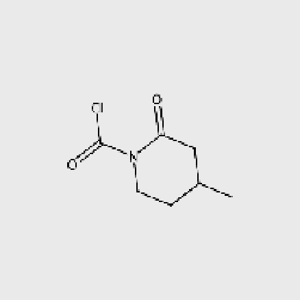 CC1CCN(C(=O)Cl)C(=O)C1